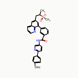 CSc1ccc(-c2ccc(NC(=O)c3cccc(-c4cc(CC(C)S(C)(=O)=O)cc5cccnc45)c3)cn2)cc1